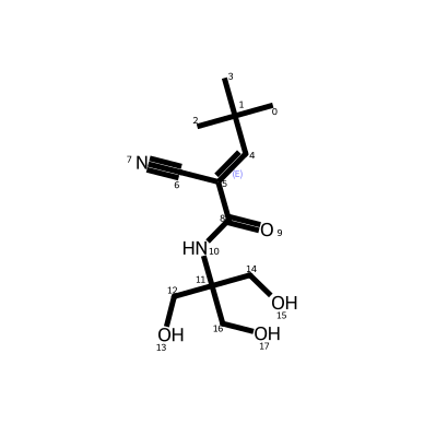 CC(C)(C)/C=C(\C#N)C(=O)NC(CO)(CO)CO